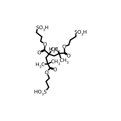 CC(C)(CC(C)(CC(C)(C)C(=O)OCCCS(=O)(=O)O)C(=O)OCCCS(=O)(=O)O)C(=O)OCCCS(=O)(=O)O